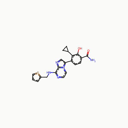 NC(=O)c1ccc(-c2cnc3c(NCc4cccs4)nccn23)c(C2CC2)c1O